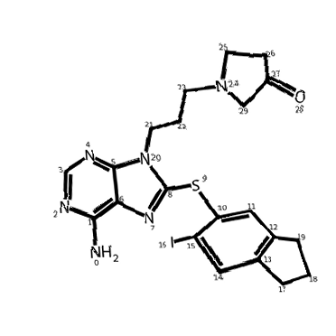 Nc1ncnc2c1nc(Sc1cc3c(cc1I)CCC3)n2CCCN1CCC(=O)C1